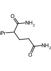 CC(C)C(CCC(N)=O)C(N)=O